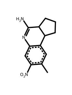 Cc1cc2c(cc1[N+](=O)[O-])N=C(N)C1CCCC21